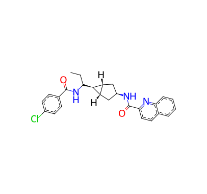 CCC(NC(=O)c1ccc(Cl)cc1)[C@H]1[C@@H]2C[C@@H](NC(=O)c3ccc4ccccc4n3)C[C@@H]21